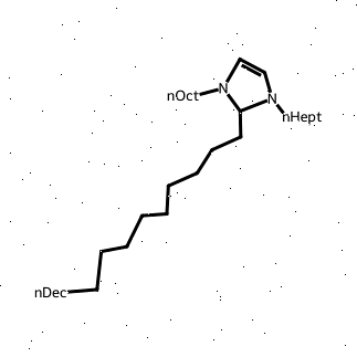 CCCCCCCCCCCCCCCCCCCC1N(CCCCCCC)C=CN1CCCCCCCC